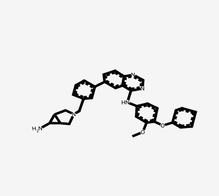 COc1cc(Nc2ncnc3ccc(-c4cccc(CN5CC6C(N)C6C5)c4)cc23)ccc1Oc1ccccc1